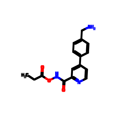 CCC(=O)ONC(=O)c1cc(-c2ccc(CN)cc2)ccn1